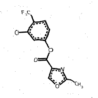 Cc1nc(C(=O)Oc2ccc(C(F)(F)F)c(Cl)c2)co1